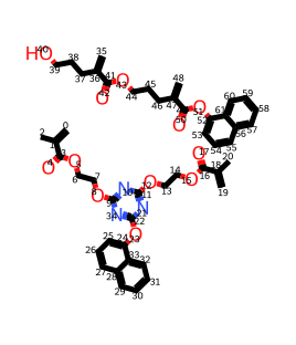 C=C(C)C(=O)OCCOc1nc(OCCOC(=O)C(=C)C)nc(Oc2cccc3ccccc23)n1.C=C(CCCO)C(=O)OCCCC(=C)C(=O)Oc1cccc2ccccc12